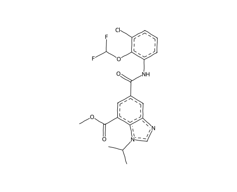 COC(=O)c1cc(C(=O)Nc2cccc(Cl)c2OC(F)F)cc2ncn(C(C)C)c12